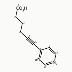 O=C(O)CCCC#Cc1ccncn1